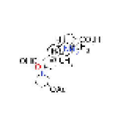 CC(=O)OC1CCCN(C2(OC=O)CC[C@@]3(C)C(CC[C@@H]4[C@@H]3CC[C@]3(C)C(C(=O)O)CCC43N)C2)C1